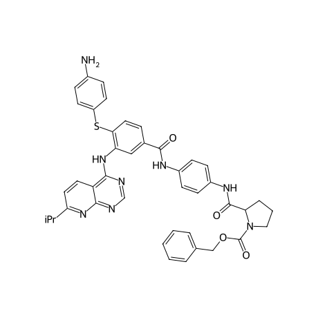 CC(C)c1ccc2c(Nc3cc(C(=O)Nc4ccc(NC(=O)C5CCCN5C(=O)OCc5ccccc5)cc4)ccc3Sc3ccc(N)cc3)ncnc2n1